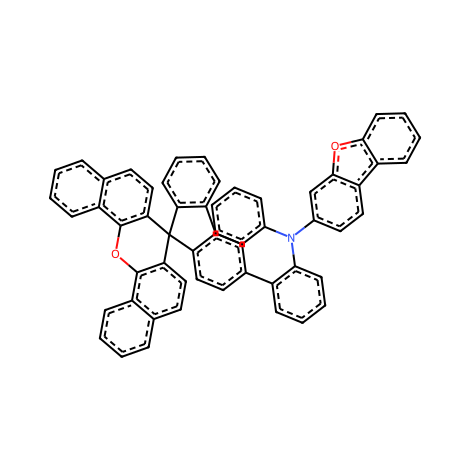 c1ccc(N(c2ccc3c(c2)oc2ccccc23)c2ccccc2-c2ccc3c(c2)-c2ccccc2C32c3ccc4ccccc4c3Oc3c2ccc2ccccc32)cc1